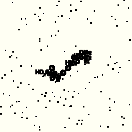 CCN(CC)CC[C@H](NC(=O)OC)C(=O)N1CCCC1c1ncc(-c2ccc(-c3ccc(-c4cnc([C@@H]5CCCN5C(=O)[C@@H](c5ccccc5)N(C)C(=O)O)[nH]4)cc3)cc2)[nH]1